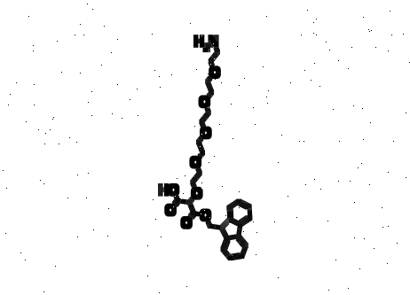 NCCOCCOCCOCCOCCOC(C(=O)O)C(=O)OCC1c2ccccc2-c2ccccc21